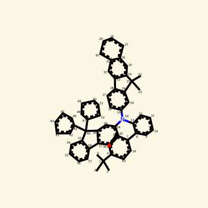 CC(C)(C)c1ccc(-c2ccccc2N(c2ccc3c(c2)C(C)(C)c2cc4ccccc4cc2-3)c2ccc3c(c2)C(c2ccccc2)(c2ccccc2)c2ccccc2-3)cc1